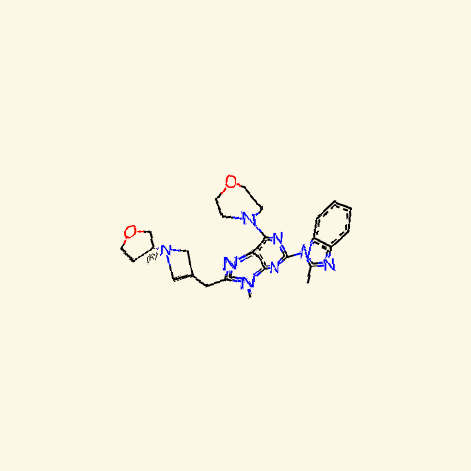 Cc1nc2ccccc2n1-c1nc(N2CCOCC2)c2nc(CC3CN([C@@H]4CCOC4)C3)n(C)c2n1